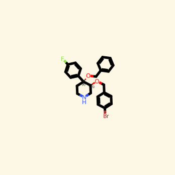 Fc1ccc([C@]2(OCc3ccccc3)CCNC[C@@H]2OCc2ccc(Br)cc2)cc1